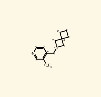 FC(F)(F)c1cnccc1CN1CC2(CCC2)C1